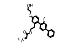 C=CC(=O)OCCc1cc(OCCO)ccc1-c1ccc(-c2ccccc2)cc1F